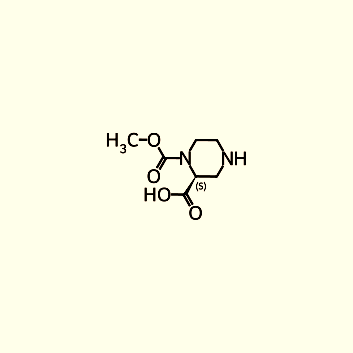 COC(=O)N1CCNC[C@H]1C(=O)O